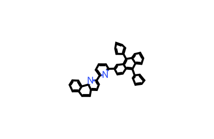 c1ccc(-c2c3ccccc3c(-c3ccccc3)c3cc(-c4cccc(-c5ccc6ccc7ccccc7c6n5)n4)ccc23)cc1